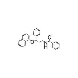 O=C(NCCC(Oc1cccc2ccccc12)c1ccccc1)c1ccccc1